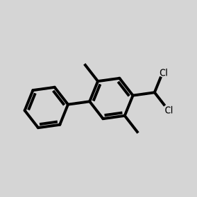 Cc1cc(C(Cl)Cl)c(C)cc1-c1ccccc1